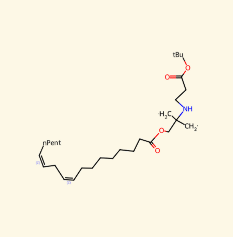 [CH2]C([CH2])(COC(=O)CCCCCCC/C=C\C/C=C\CCCCC)NCCC(=O)OC(C)(C)C